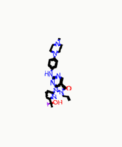 C=CCn1c(=O)c2cnc(Nc3ccc(N4CCN(C)CC4)cc3)nc2n1-c1cccc(C(C)(O)I)n1